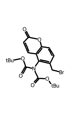 CC(C)(C)OC(=O)N(C(=O)OC(C)(C)C)c1c(CBr)ccc2oc(=O)ccc12